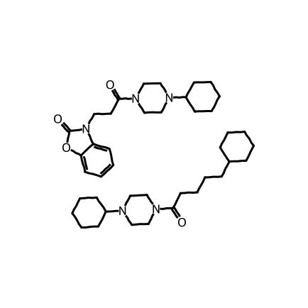 O=C(CCCCC1CCCCC1)N1CCN(C2CCCCC2)CC1.O=C(CCn1c(=O)oc2ccccc21)N1CCN(C2CCCCC2)CC1